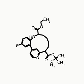 CCOC(=O)C1CCCCC(C(=O)OC(C)(C)C)c2cc(ccn2)-c2cc(F)ccc2N1